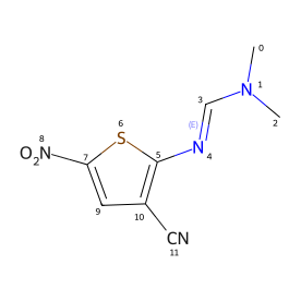 CN(C)/C=N/c1sc([N+](=O)[O-])cc1C#N